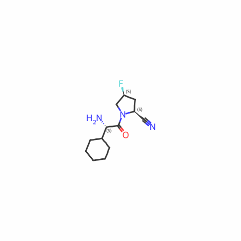 N#C[C@@H]1C[C@H](F)CN1C(=O)[C@@H](N)C1CCCCC1